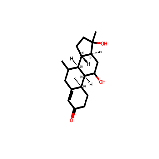 CC1CC2=CC(=O)CC[C@]2(C)[C@@H]2C(O)C[C@@]3(C)[C@@H](CCC3(C)O)[C@H]12